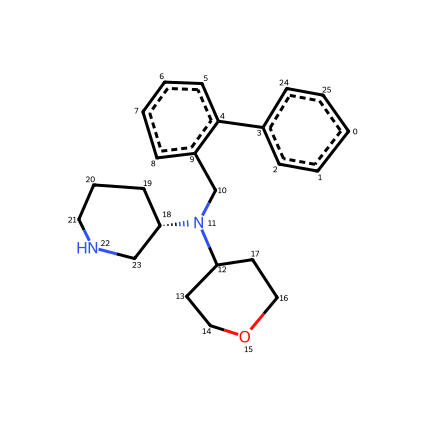 c1ccc(-c2ccccc2CN(C2CCOCC2)[C@H]2CCCNC2)cc1